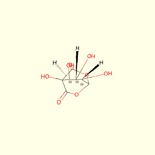 O=C1OC2OC(=O)C1(O)[C@@H](O)[C@H](O)[C@@H]2O